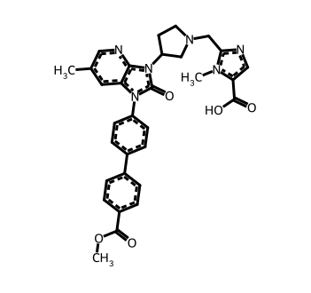 COC(=O)c1ccc(-c2ccc(-n3c(=O)n(C4CCN(Cc5ncc(C(=O)O)n5C)C4)c4ncc(C)cc43)cc2)cc1